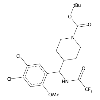 COc1cc(Cl)c(Cl)cc1C(NC(=O)C(F)(F)F)C1CCN(C(=O)OC(C)(C)C)CC1